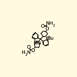 CC(C)(C)c1ccccc1C(c1ccccc1C(C)(C)C)(C1CCC(OC(N)=O)CC1)C1CCC(OC(N)=O)CC1